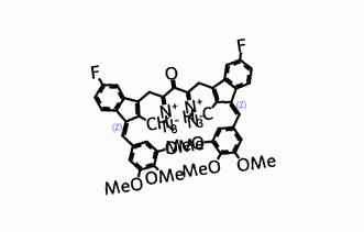 COc1cc(/C=C2\C(C)=C(CC(=[N+]=[N-])C(=O)C(CC3=C(C)/C(=C\c4cc(OC)c(OC)c(OC)c4)c4ccc(F)cc43)=[N+]=[N-])c3cc(F)ccc32)cc(OC)c1OC